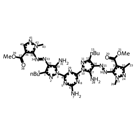 CCCCc1nn(-c2nc(N)nc(-n3nc(CCCC)c(/N=N/c4c(C(=O)OC)c(C)nn4C)c3N)n2)c(N)c1/N=N/c1c(C(=O)OC)cnn1C